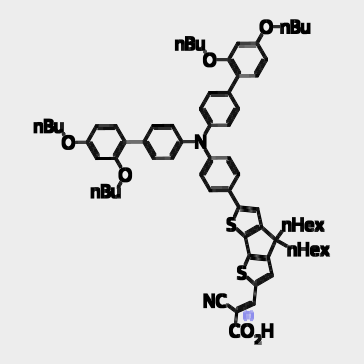 CCCCCCC1(CCCCCC)c2cc(/C=C(\C#N)C(=O)O)sc2-c2sc(-c3ccc(N(c4ccc(-c5ccc(OCCCC)cc5OCCCC)cc4)c4ccc(-c5ccc(OCCCC)cc5OCCCC)cc4)cc3)cc21